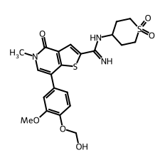 COc1cc(-c2cn(C)c(=O)c3cc(C(=N)NC4CCS(=O)(=O)CC4)sc23)ccc1OCO